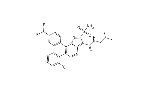 CC(C)CNC(=O)c1c(S(N)(=O)=O)nn2c(-c3ccc(C(F)F)cc3)c(-c3ccccc3Cl)cnc12